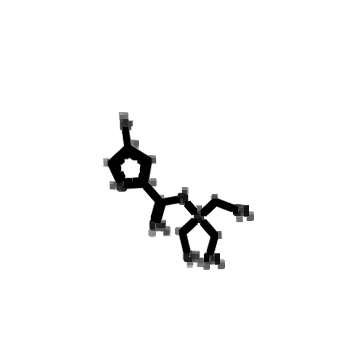 C=C(O[Si](CC)(CC)CC)c1cc(Br)co1